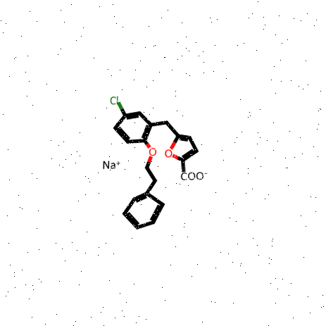 O=C([O-])c1ccc(Cc2cc(Cl)ccc2OCCc2ccccc2)o1.[Na+]